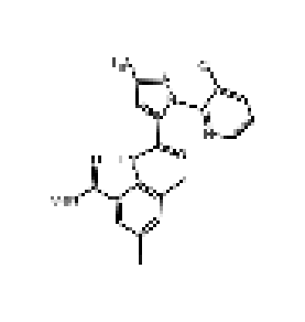 CNC(=O)c1cc(I)cc(C)c1NC(=O)c1cc(C(F)(F)F)nn1-c1ncccc1Cl